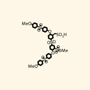 COc1ccc(S(=O)(=O)c2ccc(Oc3ccc(S(=O)(=O)c4ccc(Oc5ccc(S(=O)(=O)c6ccc(OC)cc6)cc5)c(S(=O)(=O)OC)c4)cc3CS(=O)(=O)O)cc2)cc1